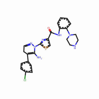 NC1=C(c2ccc(Cl)cc2)CC=NN1c1nc(C(=O)Nc2ccccc2N2CCNCC2)cs1